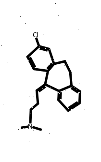 CN(C)CC/C=C1\c2ccccc2CCc2cc(Cl)ccc21